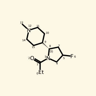 CCC(=O)N1CC(F)C[C@H]1C1CCN(C)CC1